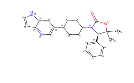 CC1(C)OC(=O)N(C2CCC(c3cnc4cc[nH]c4c3)CC2)[C@@H]1c1ccccc1